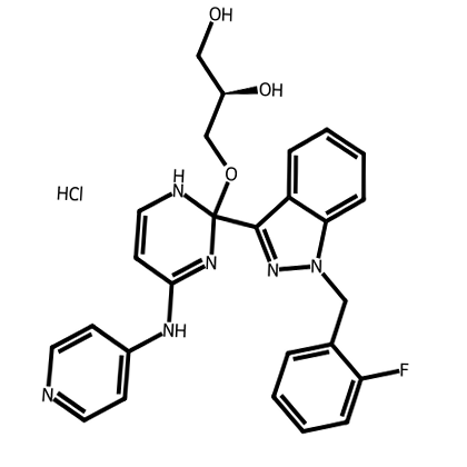 Cl.OC[C@@H](O)COC1(c2nn(Cc3ccccc3F)c3ccccc23)N=C(Nc2ccncc2)C=CN1